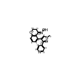 Cn1cc(-c2cccc3c2C(=NO)CCO3)c(-c2ccncc2)n1